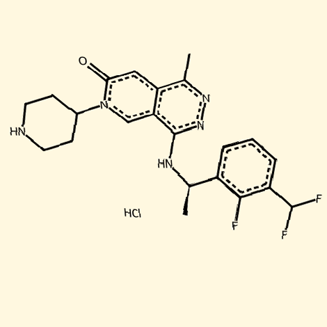 Cc1nnc(N[C@H](C)c2cccc(C(F)F)c2F)c2cn(C3CCNCC3)c(=O)cc12.Cl